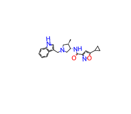 C[C@@H]1CN(Cc2c[nH]c3ccccc23)C[C@H]1NC(=O)c1cc(C2CC2)on1